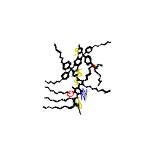 CCCCCCCCOc1c(C)c(-c2sc(-c3cc4c(s3)-c3cc5c(cc3C4(c3ccc(CCCCCC)cc3)c3ccc(CCCCCC)cc3)-c3sc(C)cc3C5(c3ccc(CCCCCC)cc3)c3ccc(CCCCCC)cc3)c(CCCCCCCC)c2CCCCCCCC)c2nsnc2c1-c1sc(C)c(CCCCCCCC)c1CCCCCCCC